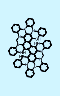 B1c2ccccc2N2c3ccccc3B3c4ccccc4N4CB5c6ccccc6Nc6c5c5c4c3c2c1c5c1c2c3c4c5c7c8c(c4c61)Bc1ccccc1N8c1ccccc1B7c1ccccc1N5CB3c1ccccc1N2